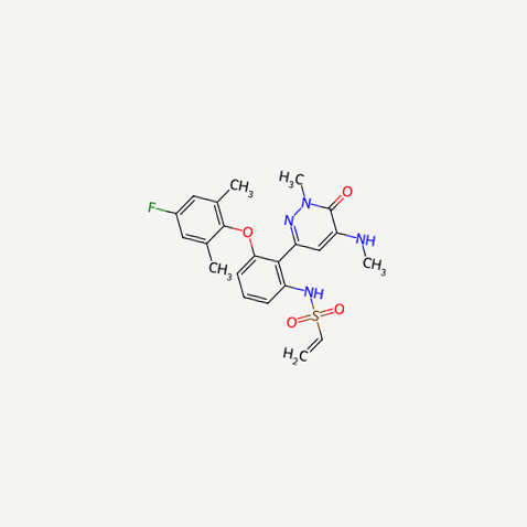 C=CS(=O)(=O)Nc1cccc(Oc2c(C)cc(F)cc2C)c1-c1cc(NC)c(=O)n(C)n1